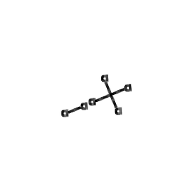 ClC(Cl)(Cl)Cl.ClCl